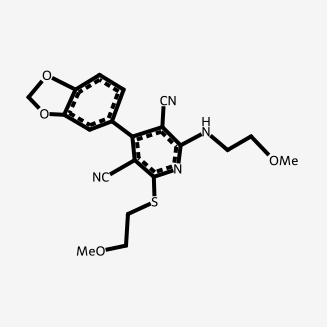 COCCNc1nc(SCCOC)c(C#N)c(-c2ccc3c(c2)OCO3)c1C#N